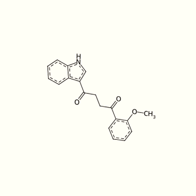 COc1ccccc1C(=O)CCC(=O)c1c[nH]c2ccccc12